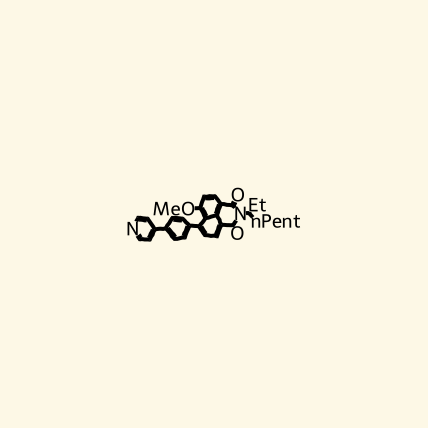 CCCCCC(CC)N1C(=O)c2ccc(OC)c3c(-c4ccc(-c5ccncc5)cc4)ccc(c23)C1=O